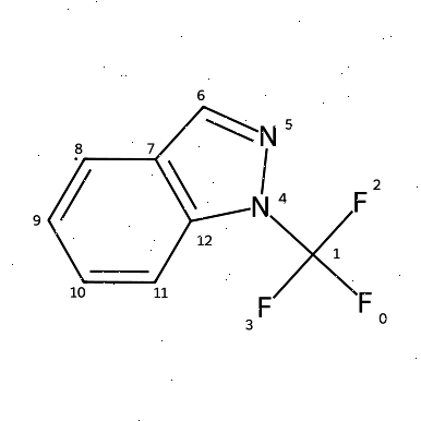 FC(F)(F)n1ncc2[c]cccc21